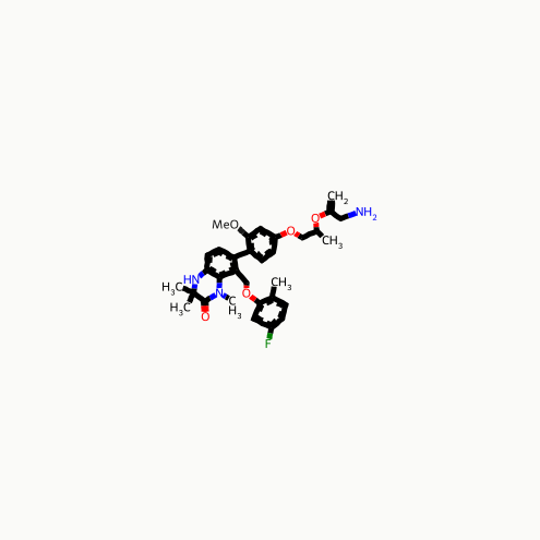 C=C(CN)OC(C)COc1ccc(-c2ccc3c(c2COc2cc(F)ccc2C)N(C)C(=O)C(C)(C)N3)c(OC)c1